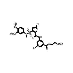 CCOc1ccc(N(C)S(=O)(=O)c2cc(Cl)sc2C(=O)Nc2cc(Cl)cc(C(=O)OCCOC)c2)cc1OC